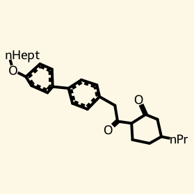 CCCCCCCOc1ccc(-c2ccc(CC(=O)C3CCC(CCC)CC3=O)cc2)cc1